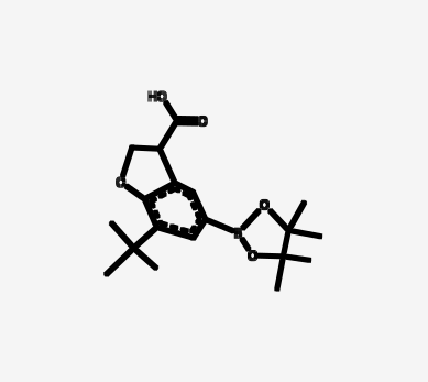 CC(C)(C)c1cc(B2OC(C)(C)C(C)(C)O2)cc2c1OCC2C(=O)O